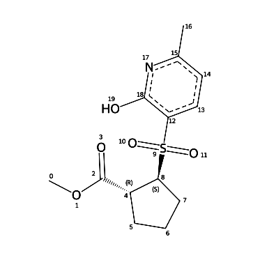 COC(=O)[C@H]1CCC[C@@H]1S(=O)(=O)c1ccc(C)nc1O